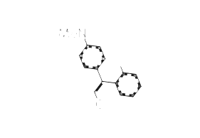 CNc1ccc(C(=CCl)c2ccccc2F)cc1